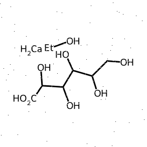 CCO.O=C(O)C(O)C(O)C(O)C(O)CO.[CaH2]